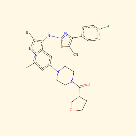 CCc1nn2c(C)cc(N3CCN(C(=O)[C@@H]4CCOC4)CC3)cc2c1N(C)c1nc(-c2ccc(F)cc2)c(C#N)s1